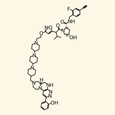 C#Cc1ccc(CNC(=O)[C@@H]2C[C@@H](O)CN2C(=O)C(c2cc(OCCN3CCC(N4CCC(N5CCC(CN6CCN7c8cc(-c9ccccc9O)nnc8NC[C@H]7C6)CC5)CC4)CC3)no2)C(C)C)c(F)c1